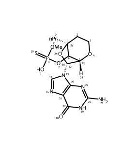 CCC[C@]12CCO[C@@H](C1OP(O)(=S)OC)[C@H](n1cnc3c(=O)[nH]c(N)nc31)O2